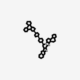 c1ccc2cc3c(cc2c1)sc1c3cc(-c2ccc(-c3ccc(-c4ccc5c6ccccc6c6ccccc6c5c4)cc3)cc2)n2c3ccc4c5ccccc5ccc4c3nc12